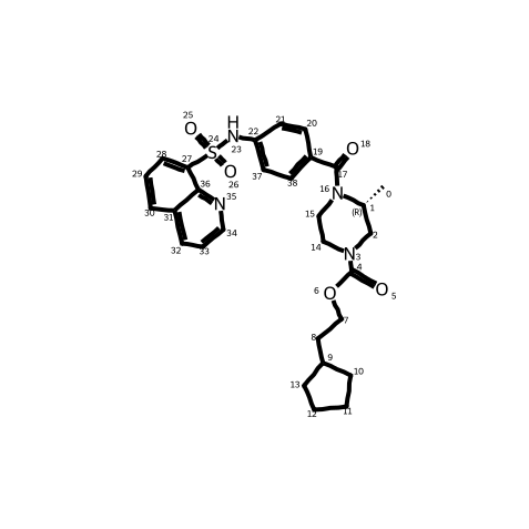 C[C@@H]1CN(C(=O)OCCC2CCCC2)CCN1C(=O)c1ccc(NS(=O)(=O)c2cccc3cccnc23)cc1